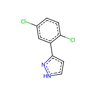 Clc1ccc(Cl)c(-c2cc[nH]n2)c1